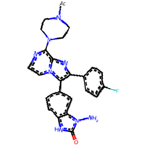 CC(=O)N1CCN(c2nccn3c(-c4ccc5[nH]c(=O)n(N)c5c4)c(-c4ccc(F)cc4)nc23)CC1